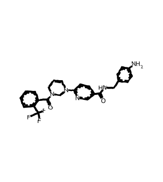 Nc1ccc(CNC(=O)c2ccc(N3C=CCN(C(=O)c4ccccc4C(F)(F)F)C3)nc2)cc1